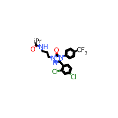 CC(C)C(=O)NCCCn1nc(-c2ccc(Cl)cc2Cl)n(-c2ccc(C(F)(F)F)cc2)c1=O